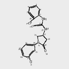 O=C(Nc1ccccc1Cl)NC1CC(=O)N(c2cccc(Cl)c2)C1